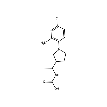 CC(NC(=O)O)C1CCN(c2ccc(Cl)cc2N)C1